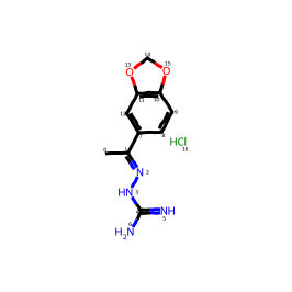 CC(=NNC(=N)N)c1ccc2c(c1)OCO2.Cl